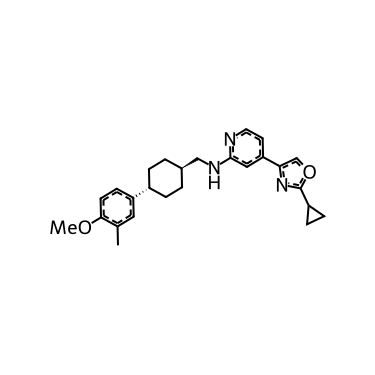 COc1ccc([C@H]2CC[C@H](CNc3cc(-c4coc(C5CC5)n4)ccn3)CC2)cc1C